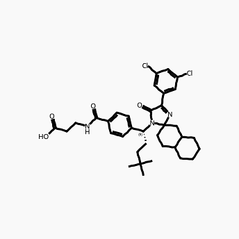 CC(C)(C)CC[C@H](c1ccc(C(=O)NCCC(=O)O)cc1)N1C(=O)C(c2cc(Cl)cc(Cl)c2)=NC12CCC1CCCCC1C2